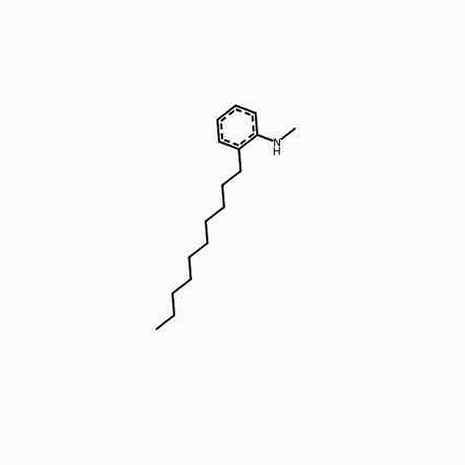 CCCCCCCCCCc1ccccc1NC